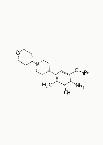 CC1=C(C2=CCN(C3CCOCC3)CC2)C=C(OC(C)C)C(N)C1C